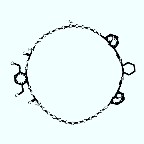 O=C1COc2c(CCl)ccc(CCl)c2OCC(=O)NCCOCCOCCOCCOc2cccc(c2O)C=NC2CCCCC2N=Cc2cccc(c2O)OCCOCCOCCOCCN1.[Ni]